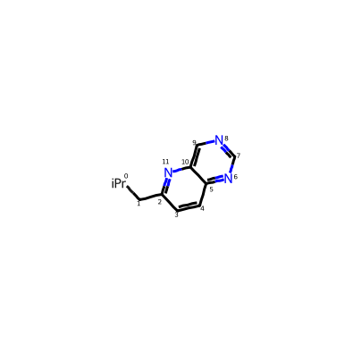 CC(C)Cc1ccc2ncncc2n1